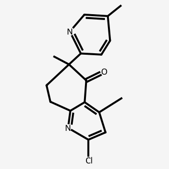 Cc1ccc(C2(C)CCc3nc(Cl)cc(C)c3C2=O)nc1